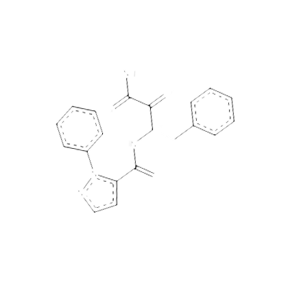 NC(=O)C(=O)[C@H](Cc1ccccc1)NC(=O)c1ccnn1-c1ccccc1